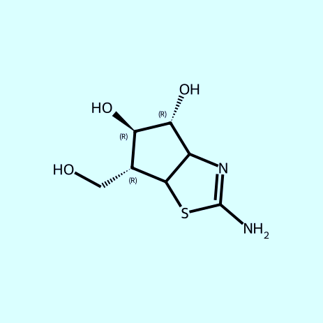 NC1=NC2C(S1)[C@H](CO)[C@@H](O)[C@@H]2O